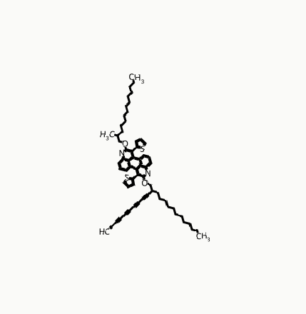 C#CC#CC#CC#CC#CC(CCCCCCCCCCCC)COc1nc2cccc3c4c(-c5cccs5)c(OCC(C)CCCCCCCCCCCC)nc5cccc(c(c1-c1cccs1)c23)c54